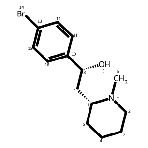 CN1CCCC[C@@H]1C[C@@H](O)c1ccc(Br)cc1